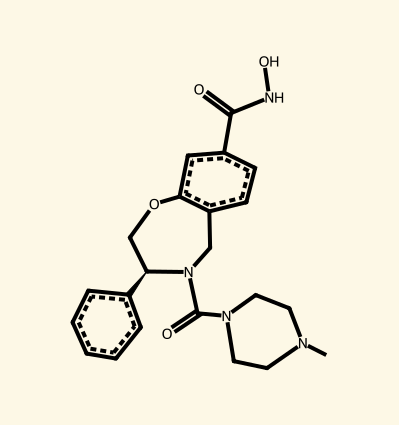 CN1CCN(C(=O)N2Cc3ccc(C(=O)NO)cc3OC[C@@H]2c2ccccc2)CC1